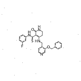 O=C1NCCC(NCc2ccncc2OCc2ccccc2)=C1C(=S)Nc1cccc(F)c1